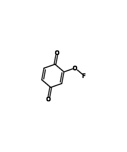 O=C1C=CC(=O)C(OF)=C1